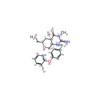 CC[C@H]1C[C@H]2C(=O)N(C)C(=N)N[C@@]2(c2cc(Oc3ncccc3F)ccc2F)CO1